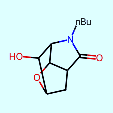 CCCCN1C(=O)C2CC3OC2C1C3O